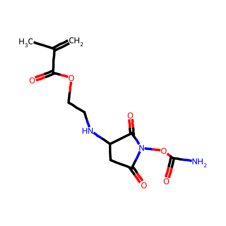 C=C(C)C(=O)OCCNC1CC(=O)N(OC(N)=O)C1=O